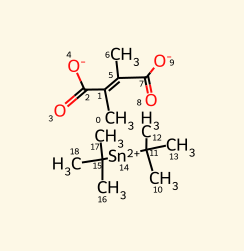 CC(C(=O)[O-])=C(C)C(=O)[O-].C[C](C)(C)[Sn+2][C](C)(C)C